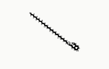 CCCCCCCCCCCCCCCCCCCCCCCCCCCCOCc1cc2ccccc2cn1